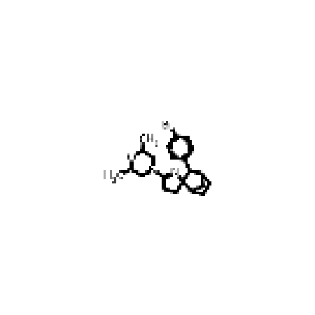 CC1CN(C2=NC3(CC2)C2CCC(C2)C3c2ccc(Br)cc2)CC(C)O1